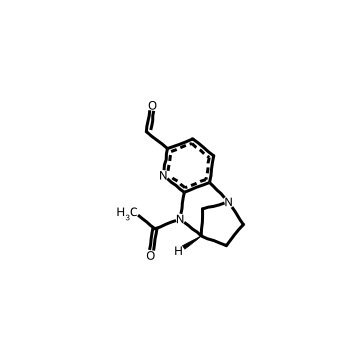 CC(=O)N1c2nc(C=O)ccc2N2CC[C@H]1C2